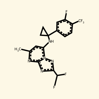 Cc1cc(NC2(c3ccc(C(F)(F)F)c(F)c3)CC2)n2nc(C(F)F)nc2n1